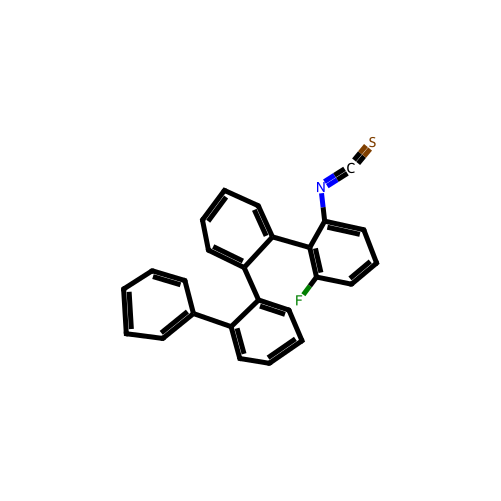 Fc1cccc(N=C=S)c1-c1ccccc1-c1ccccc1-c1ccccc1